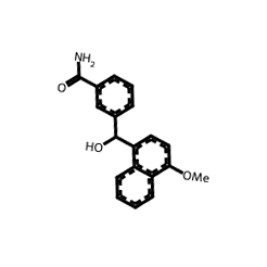 COc1ccc(C(O)c2cccc(C(N)=O)c2)c2ccccc12